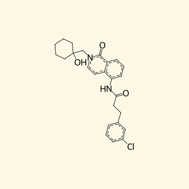 O=C(CCc1cccc(Cl)c1)Nc1cccc2c(=O)n(CC3(O)CCCCC3)ccc12